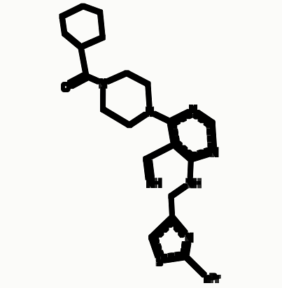 CCCc1nc(CNc2ncnc(N3CCN(C(=O)C4CCCCC4)CC3)c2C=N)cs1